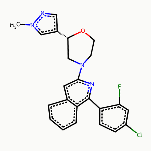 Cn1cc([C@H]2CN(c3cc4ccccc4c(-c4ccc(Cl)cc4F)n3)CCO2)cn1